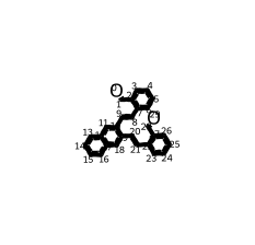 O=Cc1ccccc1/C=C/c1cc2ccccc2cc1/C=C/c1ccccc1C=O